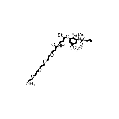 C=CCOC(=O)N[C@H]1CC(C(=O)OCC)=C[C@@H](O[C@@H](CC)CCNC(=O)CCOCCOCCOCCOCCN)[C@@H]1NC(C)=O